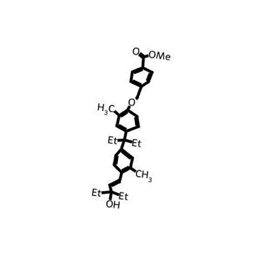 CCC(O)(C=Cc1ccc(C(CC)(CC)c2ccc(OCc3ccc(C(=O)OC)cc3)c(C)c2)cc1C)CC